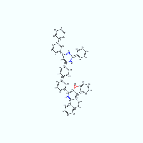 c1ccc(-c2cccc(-c3cc(-c4ccc(-c5cccc(-c6nc7c8ccccc8ccc7c7c6oc6ccccc67)c5)cc4)nc(-c4ccccc4)n3)c2)cc1